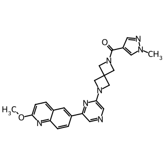 COc1ccc2cc(-c3cncc(N4CC5(CN(C(=O)c6cnn(C)c6)C5)C4)n3)ccc2n1